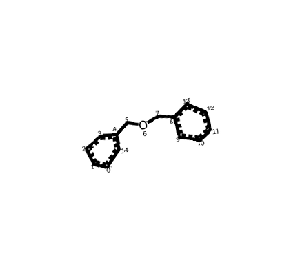 [c]1cccc(COCc2ccccc2)c1